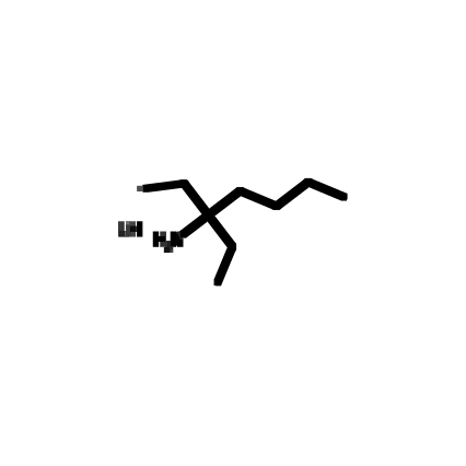 [CH2]CC(N)(CC)CCCC.[LiH]